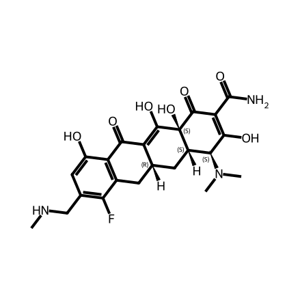 CNCc1cc(O)c2c(c1F)C[C@H]1C[C@H]3[C@H](N(C)C)C(O)=C(C(N)=O)C(=O)[C@@]3(O)C(O)=C1C2=O